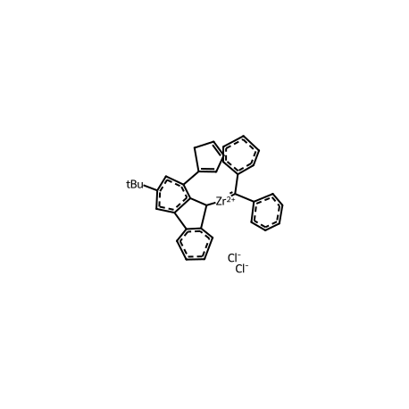 CC(C)(C)c1cc(C2=CC=CC2)c2c(c1)-c1ccccc1[CH]2[Zr+2]=[C](c1ccccc1)c1ccccc1.[Cl-].[Cl-]